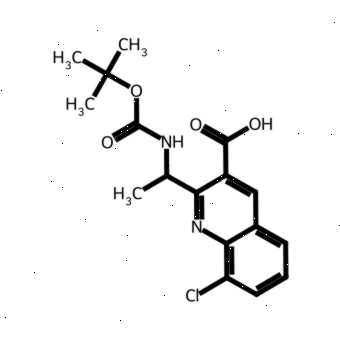 CC(NC(=O)OC(C)(C)C)c1nc2c(Cl)cccc2cc1C(=O)O